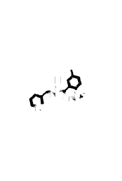 Cc1ccc([N+](=O)[O-])c(C(=O)NN=Cc2cccnc2)c1